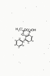 CC(=O)Oc1c(C(=O)O)cccc1-c1ccccc1